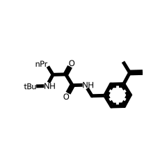 C=C(C)c1cccc(CNC(=O)C(=O)C(CCC)NC(C)(C)C)c1